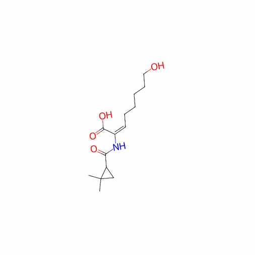 CC1(C)CC1C(=O)N/C(=C/CCCCCO)C(=O)O